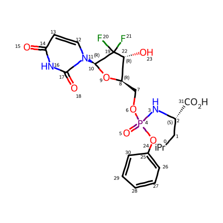 CC(C)C[C@H](NP(=O)(OC[C@H]1O[C@@H](n2ccc(=O)[nH]c2=O)C(F)(F)[C@@H]1O)Oc1ccccc1)C(=O)O